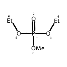 [CH2]OP(=O)(OCC)OCC